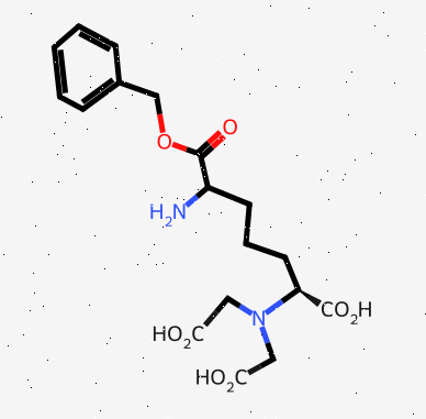 NC(CCC[C@@H](C(=O)O)N(CC(=O)O)CC(=O)O)C(=O)OCc1ccccc1